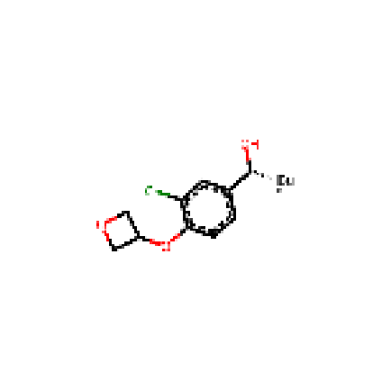 CC[C@@H](C)C(O)c1ccc(OC2COC2)c(Cl)c1